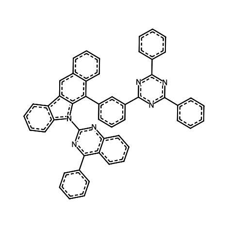 c1ccc(-c2nc(-c3ccccc3)nc(-c3cccc(-c4c5ccccc5cc5c6ccccc6n(-c6nc(-c7ccccc7)c7ccccc7n6)c45)c3)n2)cc1